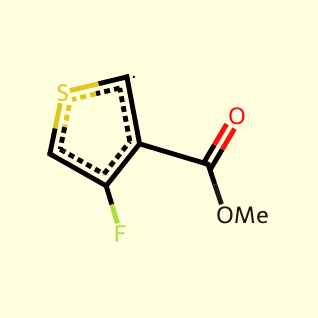 COC(=O)c1[c]scc1F